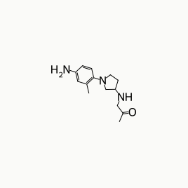 CC(=O)CNC1CCN(c2ccc(N)cc2C)C1